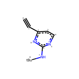 C#Cc1ccnc(NC(C)(C)C)n1